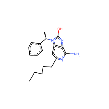 CCCCCc1cc2c(nc(O)n2[C@H](C)c2ccccc2)c(N)n1